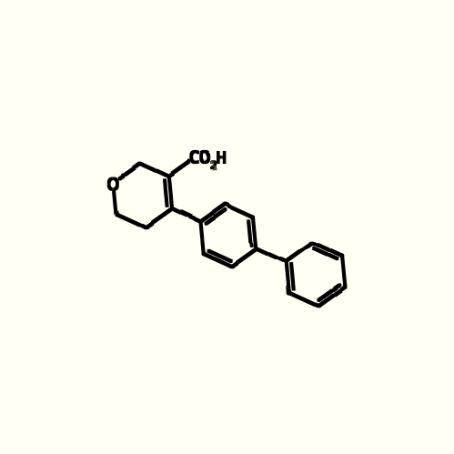 O=C(O)C1=C(c2ccc(-c3ccccc3)cc2)CCOC1